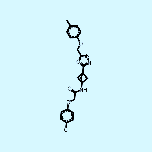 Cc1ccc(OCc2nnc(C34CC(NC(=O)COc5ccc(Cl)cc5)(C3)C4)o2)cc1